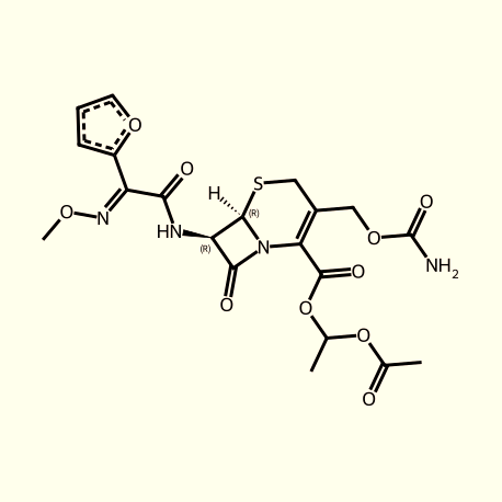 CON=C(C(=O)N[C@@H]1C(=O)N2C(C(=O)OC(C)OC(C)=O)=C(COC(N)=O)CS[C@H]12)c1ccco1